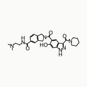 CN(C)CCNC(=O)c1ccc2c(c1)CN(C(=O)c1cc3c(C(=O)N4CCCCC4)n[nH]c3cc1O)C2